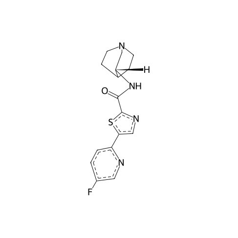 O=C(N[C@H]1CN2CCC1CC2)c1ncc(-c2ccc(F)cn2)s1